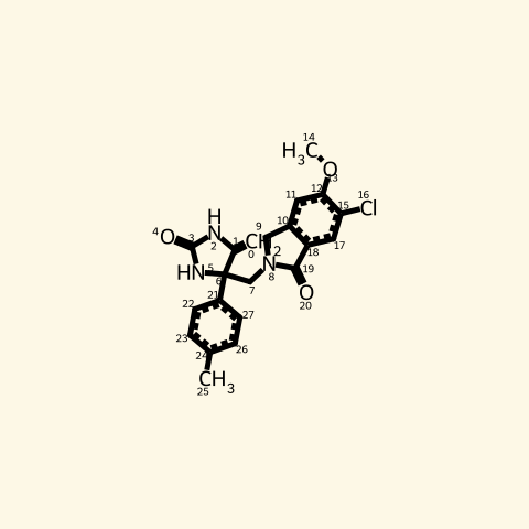 C=C1NC(=O)NC1(CN1Cc2cc(OC)c(Cl)cc2C1=O)c1ccc(C)cc1